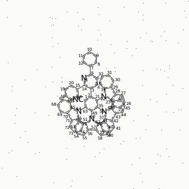 N#Cc1c(-c2ccc(-c3ccccc3)nc2-c2ccccc2)c(-n2c3ccccc3c3ccccc32)c(-n2c3ccccc3c3ccccc32)c(-n2c3ccccc3c3ccccc32)c1-n1c2ccccc2c2ccccc21